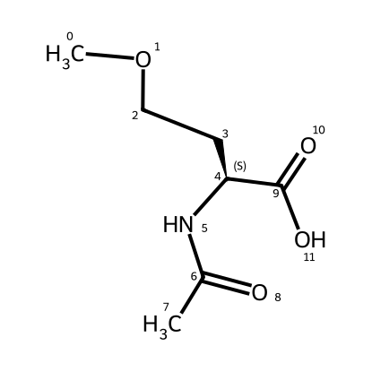 COCC[C@H](NC(C)=O)C(=O)O